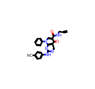 C#CCNC(=O)c1cn(-c2ccccc2)c2nc(Nc3ccc(C#N)cc3)ncc2c1=O